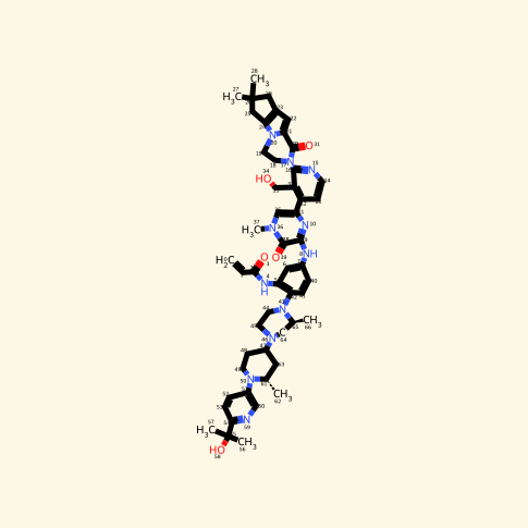 C=CC(=O)Nc1cc(Nc2nc(-c3ccnc(N4CCn5c(cc6c5CC(C)(C)C6)C4=O)c3CO)cn(C)c2=O)ccc1N1CCN(C2CCN(c3ccc(C(C)(C)O)nc3)[C@@H](C)C2)C[C@@H]1C